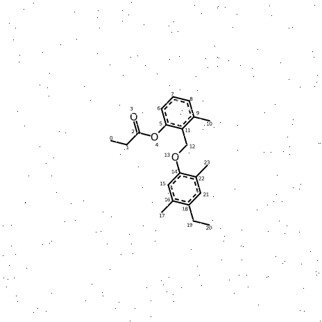 CCC(=O)Oc1cccc(C)c1COc1cc(C)c(CC)cc1C